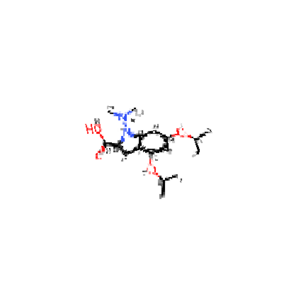 CC(C)Oc1cc(OC(C)C)c2cc(C(=O)O)n(N(C)C)c2c1